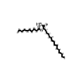 CCCCCCCCCCCCCCCC(OC(=O)CCCCCCCCC)C(=O)O